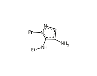 CCNc1c(N)cnn1C(C)C